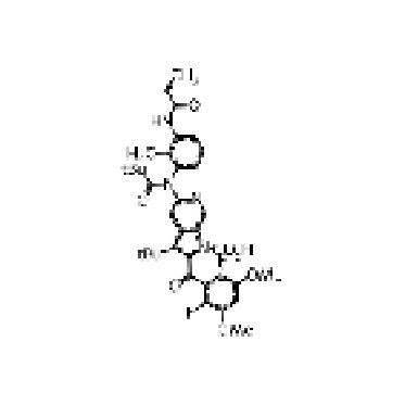 C=CC(=O)Nc1cccc(N(C(=O)C(C)(C)C)c2cc3c(C(C)(C)C)c(C(=O)c4c(F)c(OC)cc(OC)c4F)n(C(=O)O)c3cn2)c1C